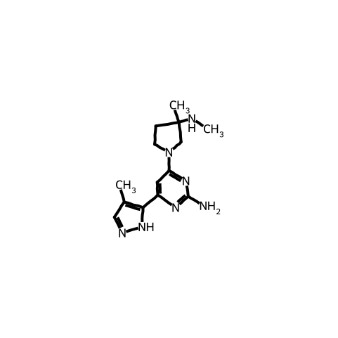 CNC1(C)CCN(c2cc(-c3[nH]ncc3C)nc(N)n2)C1